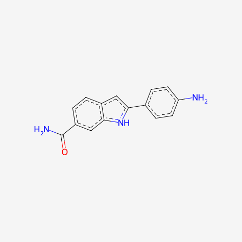 NC(=O)c1ccc2cc(-c3ccc(N)cc3)[nH]c2c1